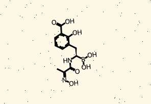 C/C(=N/O)C(=O)N[C@@H](Cc1cccc(C(=O)O)c1O)B(O)O